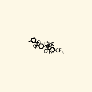 Cc1cccc(S(=O)(=O)[C@]2(F)CC[C@H](NC(=O)c3ncc(C(F)(F)F)cc3S(=O)(=O)C(C)C)CC2)c1